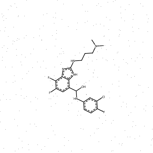 CN(C)CCCNc1nc2c(F)c(F)cc(C(O)Nc3ccc(F)c(Cl)c3)c2[nH]1